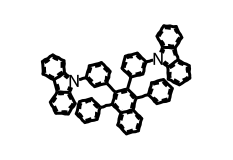 c1ccc(-c2c(-c3cccc(-n4c5ccccc5c5ccccc54)c3)c(-c3cccc(-n4c5ccccc5c5ccccc54)c3)c(-c3ccccc3)c3ccccc23)cc1